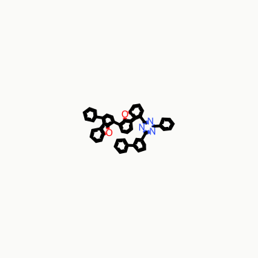 c1ccc(-c2cccc(-c3nc(-c4ccccc4)nc(-c4cccc5oc6c(-c7ccc(-c8ccccc8)c8c7oc7ccccc78)cccc6c45)n3)c2)cc1